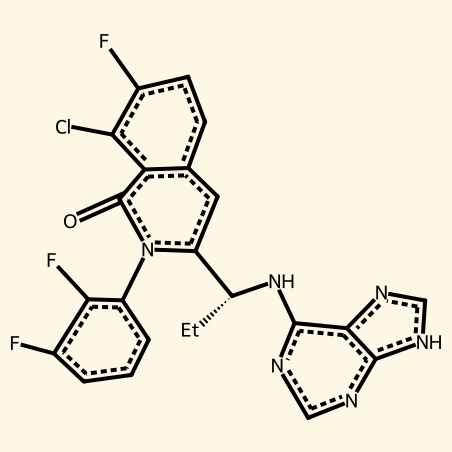 CC[C@@H](Nc1ncnc2[nH]cnc12)c1cc2ccc(F)c(Cl)c2c(=O)n1-c1cccc(F)c1F